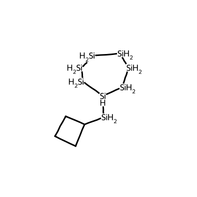 C1CC([SiH2][SiH]2[SiH2][SiH2][SiH2][SiH2][SiH2][SiH2]2)C1